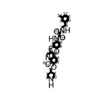 COc1c(OCC2CCNCC2)ccc2c(Oc3ccc(NC(=O)C(=O)NCCc4cccc(C)c4)cc3F)ccnc12